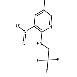 Cc1cnc(NCC(F)(F)F)c([N+](=O)[O-])c1